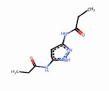 CCC(=O)Nc1cc(NC(=O)CC)[nH]n1